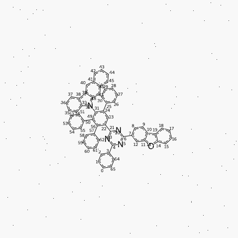 c1ccc(-c2nc(-c3ccc4c(c3)oc3ccccc34)nc(-c3cc(-c4ccccc4)c(-n4c5ccccc5c5cc6ccccc6cc54)c(-c4ccccc4)c3-c3ccccc3)n2)cc1